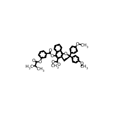 COC(=O)c1c2c(c3ccccc3c1OC(=O)c1cccc(OC(=O)C(C)C)c1)OC(c1ccc(OC)cc1)(c1ccc(OC)cc1)C=C2